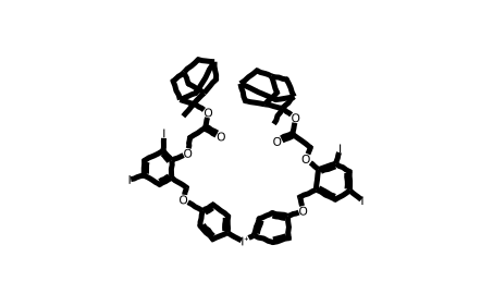 CC1(OC(=O)COc2c(I)cc(I)cc2COc2ccc([I+]c3ccc(OCc4cc(I)cc(I)c4OCC(=O)OC4(C)C5CC6CC(C5)CC4C6)cc3)cc2)C2CC3CC(C2)CC1C3